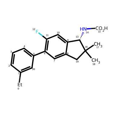 CCc1cccc(-c2cc3c(cc2F)[C@H](NC(=O)O)C(C)(C)C3)c1